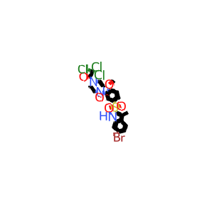 COc1ccc(S(=O)(=O)c2[nH]c3cc(Br)ccc3c2C)cc1[N+]1([O-])CCN(C(=O)C(Cl)(Cl)Cl)CC1